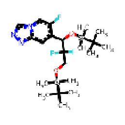 CC(C)(C)[Si](C)(C)OCC(F)(F)C(O[Si](C)(C)C(C)(C)C)c1cc2nncn2cc1F